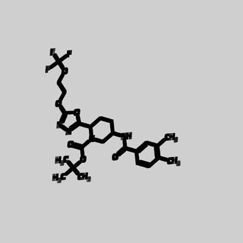 Cc1ccc(C(=O)NC2CCC(c3nnc(OCCOC(F)(F)F)o3)N(C(=O)OC(C)(C)C)C2)cc1C